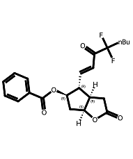 CCCCC(F)(F)C(=O)C=C[C@@H]1[C@H]2CC(=O)O[C@H]2C[C@H]1OC(=O)c1ccccc1